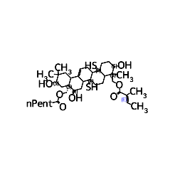 C/C=C(\C)C(=O)OC[C@]1(C)C2CC[C@@]3(S)C4C[C@@H](O)[C@@]5(COC(=O)CCCCC)C[C@H](O)C(C)(C)CC5C4=CCC3[C@@]2(S)CC[C@@H]1O